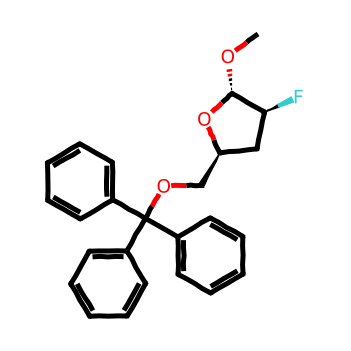 CO[C@H]1O[C@H](COC(c2ccccc2)(c2ccccc2)c2ccccc2)C[C@@H]1F